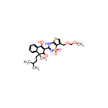 COCOCc1csc2c1S(=O)(=O)N=C(C1=C(O)c3ccccc3[C@@](C)(CCC(C)C)C1=O)N2